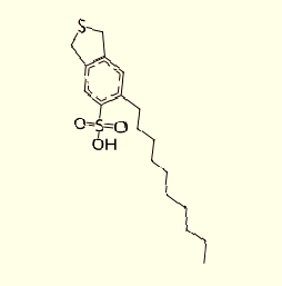 CCCCCCCCCCc1cc2c(cc1S(=O)(=O)O)CSC2